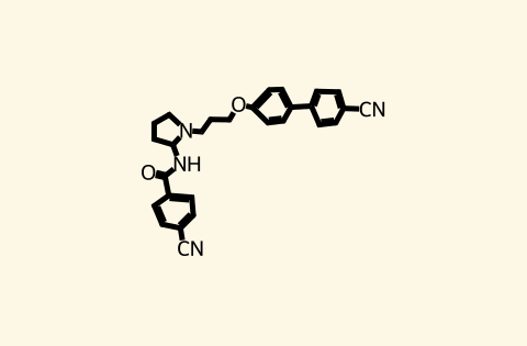 N#Cc1ccc(C(=O)NC2CCCN2CCCOc2ccc(-c3ccc(C#N)cc3)cc2)cc1